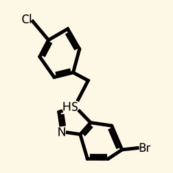 Clc1ccc(C[SH]2C=Nc3ccc(Br)cc32)cc1